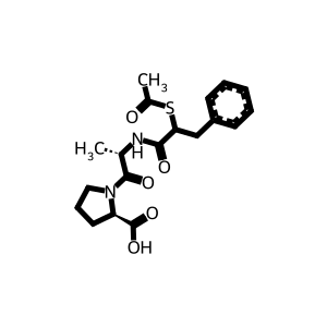 CC(=O)SC(Cc1ccccc1)C(=O)N[C@@H](C)C(=O)N1CCC[C@@H]1C(=O)O